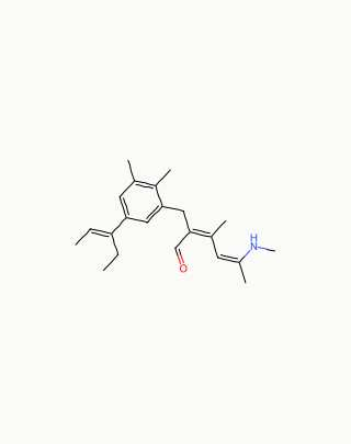 C/C=C(\CC)c1cc(C)c(C)c(C/C(C=O)=C(C)/C=C(/C)NC)c1